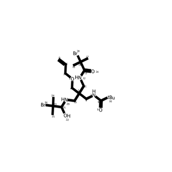 C=CCOCC(CNC(=O)C(C)(C)C)(CNC(=O)C(C)(C)Br)CNC(O)C(C)(C)Br